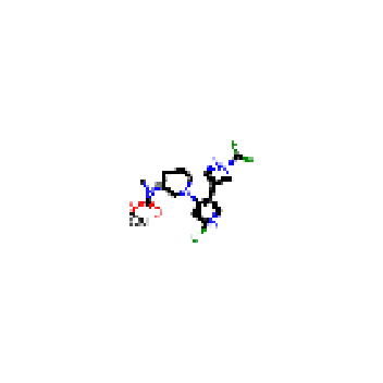 CN(C(=O)OC(C)(C)C)[C@H]1CCCN(c2cc(Cl)ncc2-c2cnn(C(F)F)c2)C1